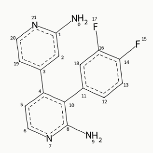 Nc1cc(-c2ccnc(N)c2-c2ccc(F)c(F)c2)ccn1